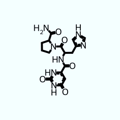 NC(=O)C1CCCN1C(=O)C(Cc1c[nH]cn1)NC(=O)c1cc(=O)[nH]c(=O)[nH]1